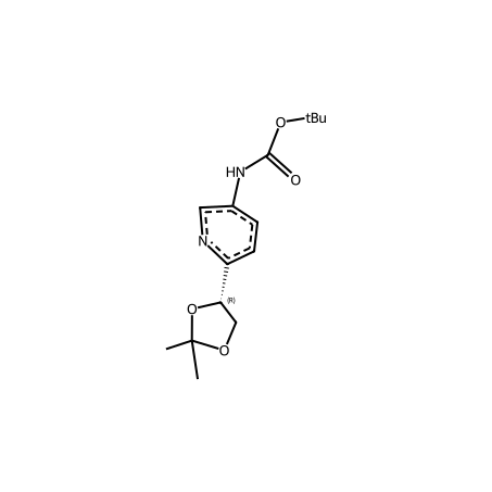 CC(C)(C)OC(=O)Nc1ccc([C@@H]2COC(C)(C)O2)nc1